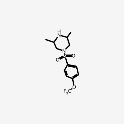 CC1CN(S(=O)(=O)c2ccc(OC(F)(F)F)cc2)CC(C)N1